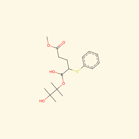 COC(=O)CCC(Sc1ccccc1)B(O)OC(C)(C)C(C)(C)O